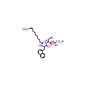 CCCCCCCC/C=C\CCCCCCCC(=O)NC(Cc1cccc2ccccc12)C(=O)NC(CC(C)C)C(=O)NC(C(=O)O)C(C)C